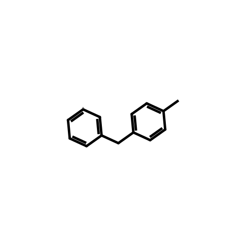 Cc1ccc(Cc2c[c]ccc2)cc1